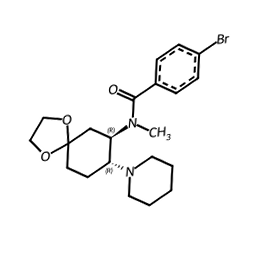 CN(C(=O)c1ccc(Br)cc1)[C@@H]1CC2(CC[C@H]1N1CCCCC1)OCCO2